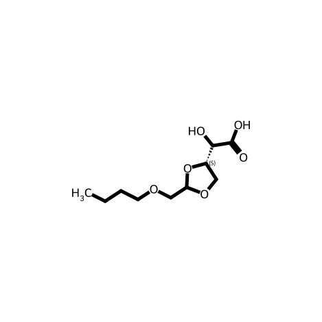 CCCCOCC1OC[C@@H](C(O)C(=O)O)O1